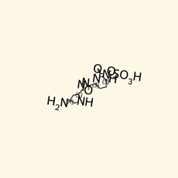 N[C@H]1CN[C@H](c2nnc([C@@H]3CC[C@H]4CN3C(=O)N4OS(=O)(=O)O)o2)C1